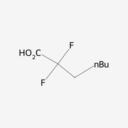 CCCCCC(F)(F)C(=O)O